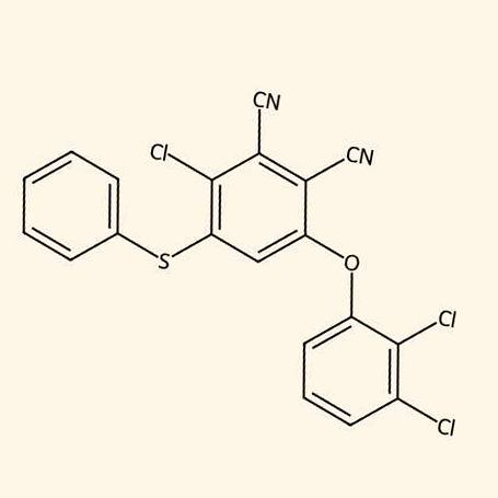 N#Cc1c(Oc2cccc(Cl)c2Cl)cc(Sc2ccccc2)c(Cl)c1C#N